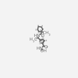 C[C@@H](NC(=O)C1(C)CCCCC1)c1ccc(C(=O)NO)s1